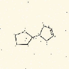 C1=CSC([C]2CCCS2)C1